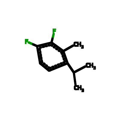 Cc1c(C(C)C)ccc(F)c1F